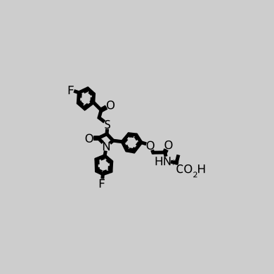 C[C@H](NC(=O)COc1ccc(C2C(SCC(=O)c3ccc(F)cc3)C(=O)N2c2ccc(F)cc2)cc1)C(=O)O